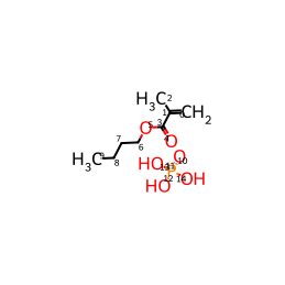 C=C(C)C(=O)OCCCC.O=P(O)(O)O